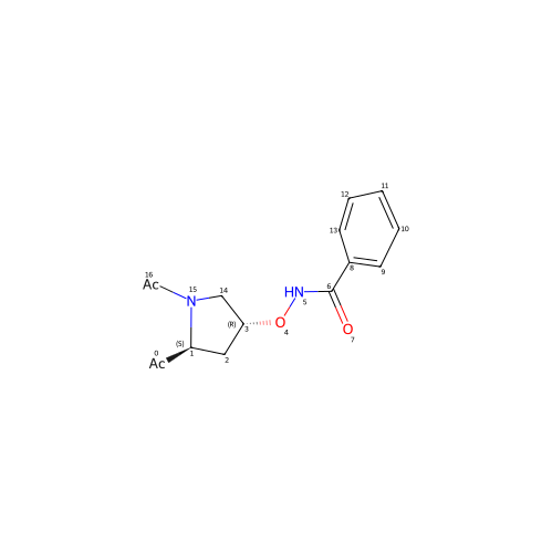 CC(=O)[C@@H]1C[C@@H](ONC(=O)c2ccccc2)CN1C(C)=O